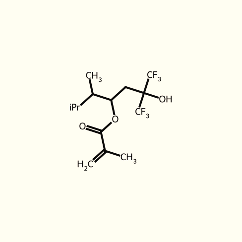 C=C(C)C(=O)OC(CC(O)(C(F)(F)F)C(F)(F)F)C(C)C(C)C